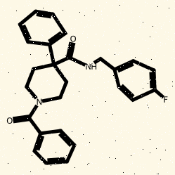 O=C(c1ccccc1)N1CCC(C(=O)NCc2ccc(F)cc2)(c2ccccc2)CC1